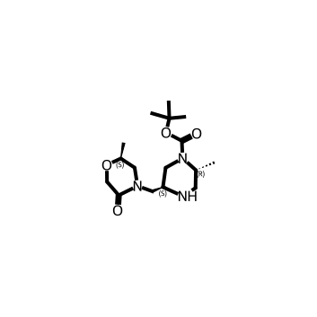 C[C@@H]1CN[C@@H](CN2C[C@H](C)OCC2=O)CN1C(=O)OC(C)(C)C